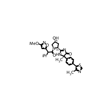 COc1cc(C(C(=O)N2C[C@H](O)C[C@H]2C2=NC(=O)[C@@](C)(c3ccc(-c4scnc4C)cc3)N2)C(C)C)on1